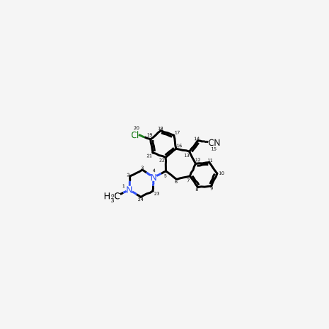 CN1CCN(C2Cc3ccccc3/C(=C\C#N)c3ccc(Cl)cc32)CC1